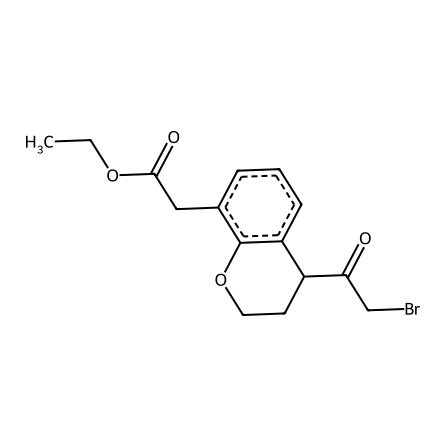 CCOC(=O)Cc1cccc2c1OCCC2C(=O)CBr